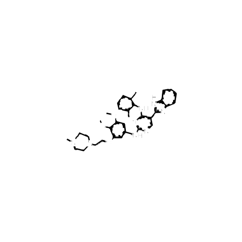 COc1cc(Nc2ncc(-c3nc4ccccc4[nH]3)c(Nc3c(C)cccc3C)n2)cc(OCCN2CCN(C)CC2)c1OC